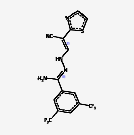 N#C/C(=C\N/N=C(\N)c1cc(C(F)(F)F)cc(C(F)(F)F)c1)c1nccs1